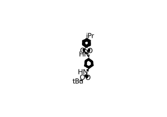 CC(C)c1ccc(S(=O)(=O)NC[C@H]2CC[C@H](CNC(=O)OC(C)(C)C)CC2)cc1